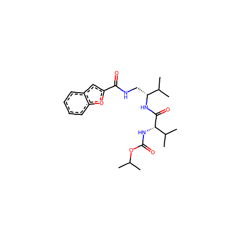 CC(C)OC(=O)N[C@H](C(=O)N[C@H](CNC(=O)c1cc2ccccc2o1)C(C)C)C(C)C